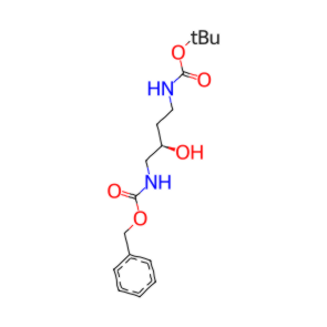 CC(C)(C)OC(=O)NCC[C@@H](O)CNC(=O)OCc1ccccc1